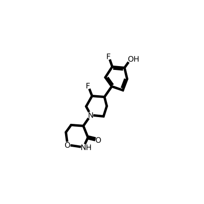 O=C1NOCCC1N1CCC(c2ccc(O)c(F)c2)C(F)C1